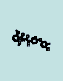 COc1cccc(OC)c1C(=O)NC(=O)Nc1ccc(Oc2ccc(Cl)c(C)c2)nc1